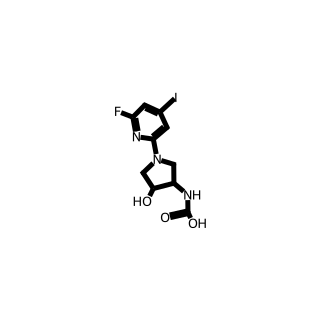 O=C(O)NC1CN(c2cc(I)cc(F)n2)CC1O